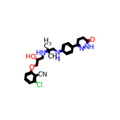 CC(C)(CNc1ccc(C2=NNC(=O)CC2)cc1)NCC(O)COc1cccc(Cl)c1C#N